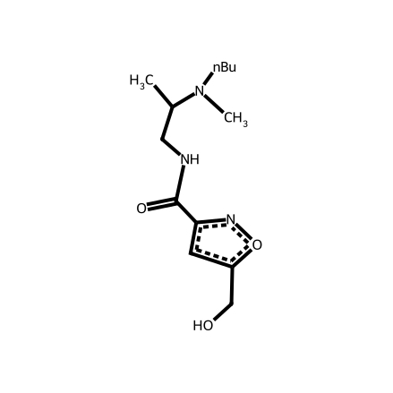 CCCCN(C)C(C)CNC(=O)c1cc(CO)on1